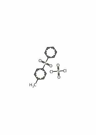 Cc1ccc(S(=O)(=O)c2ccccc2)cc1.O=S(=O)(Cl)Cl